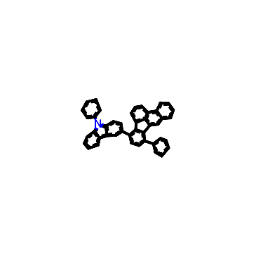 c1ccc(-c2ccc(-c3ccc4c(c3)c3ccccc3n4-c3ccccc3)c3c2-c2cc4ccccc4c4cccc-3c24)cc1